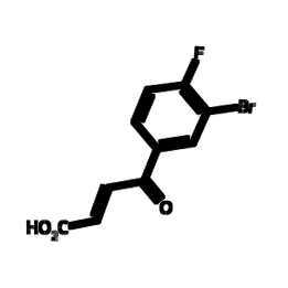 O=C(O)C=CC(=O)c1ccc(F)c(Br)c1